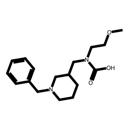 COCCN(CC1CCCN(Cc2ccccc2)C1)C(=O)O